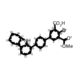 COC(=O)c1cc(-c2ccc(-c3cccc4c3[nH]c3ccccc34)cc2)cc(C(=O)O)c1Br